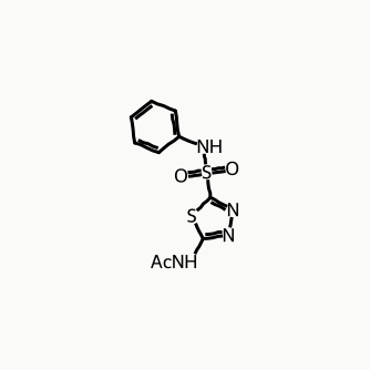 CC(=O)Nc1nnc(S(=O)(=O)Nc2ccccc2)s1